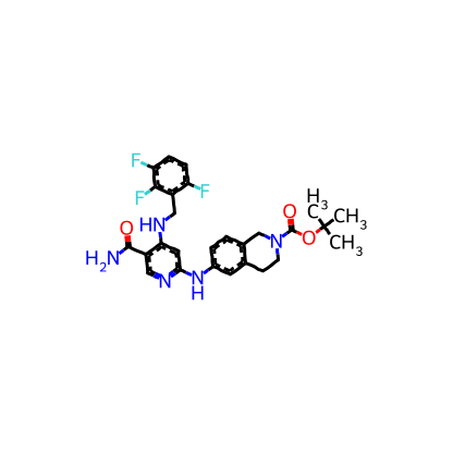 CC(C)(C)OC(=O)N1CCc2cc(Nc3cc(NCc4c(F)ccc(F)c4F)c(C(N)=O)cn3)ccc2C1